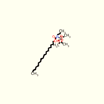 CCCCCCCCCCCCCCCCCCOC(=O)N(CCC)[Si](OCC)(OCC)OCC